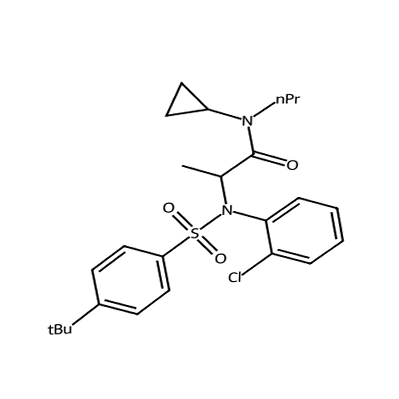 CCCN(C(=O)C(C)N(c1ccccc1Cl)S(=O)(=O)c1ccc(C(C)(C)C)cc1)C1CC1